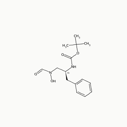 CC(C)(C)OC(=O)N[C@@H](Cc1ccccc1)CN(O)C=O